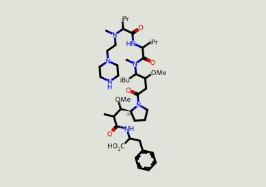 CCC(C)C(C(CC(=O)N1CCC[C@H]1C(OC)C(C)C(=O)NC(Cc1ccccc1)C(=O)O)OC)N(C)C(=O)C(NC(=O)C(C(C)C)N(C)CCN1CCNCC1)C(C)C